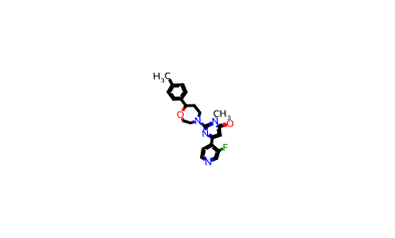 Cc1ccc(C2CCN(c3nc(-c4ccncc4F)cc(=O)n3C)CCO2)cc1